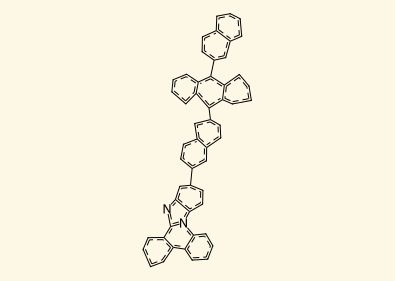 c1ccc2cc(-c3c4ccccc4c(-c4ccc5cc(-c6ccc7c(c6)nc6c8ccccc8c8ccccc8n76)ccc5c4)c4ccccc34)ccc2c1